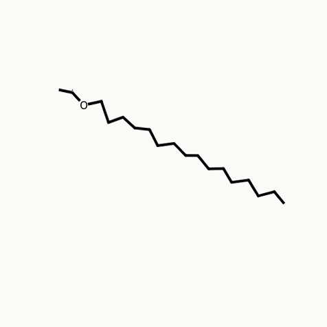 C[CH]OCCCCCCCCCCCCCCCC